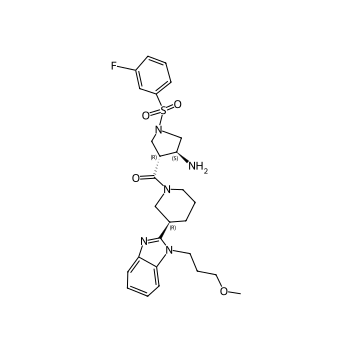 COCCCn1c([C@@H]2CCCN(C(=O)[C@@H]3CN(S(=O)(=O)c4cccc(F)c4)C[C@H]3N)C2)nc2ccccc21